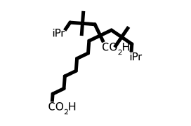 CC(C)CC(C)(C)CC(CCCCCCCC(=O)O)(CC(C)(C)CC(C)C)C(=O)O